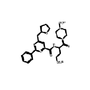 CCOC(=O)N1CCN(C(=O)C(CCC(=O)O)NC(=O)c2cc(CC3CCCO3)nc(-c3ccccc3)n2)CC1